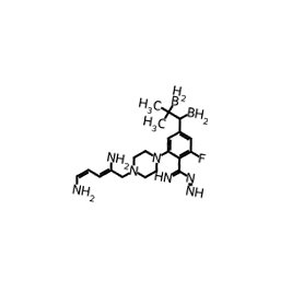 BC(c1cc(F)c(C(=N)N=N)c(N2CCN(C/C(N)=C/C=C\N)CC2)c1)C(B)(C)C